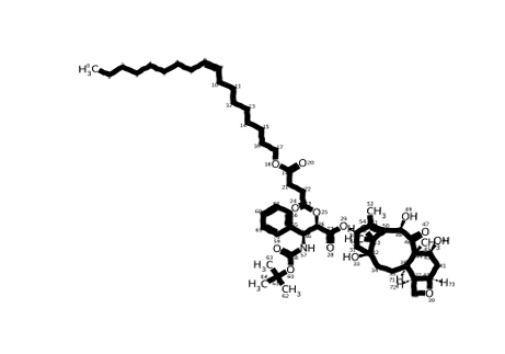 CCCCCCCC/C=C\CCCCCCCCOC(=O)CCC(=O)O[C@@H](C(=O)O[C@H]1C[C@@]2(O)CC[C@@H]3[C@@H]4CO[C@@H]4C[C@H](O)[C@@]3(C)C(=O)[C@H](O)C(=C1C)C2(C)C)[C@@H](NC(=O)OC(C)(C)C)c1ccccc1